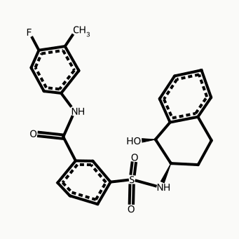 Cc1cc(NC(=O)c2cccc(S(=O)(=O)N[C@@H]3CCc4ccccc4[C@@H]3O)c2)ccc1F